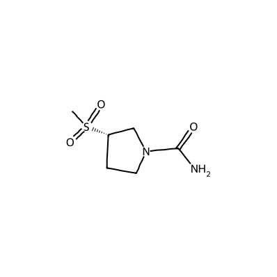 CS(=O)(=O)[C@H]1CCN(C(N)=O)C1